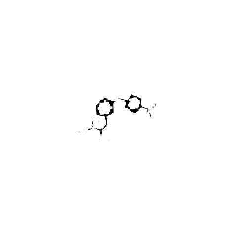 CC(Cc1cccc(Oc2ccc([N+](=O)[O-])cc2)c1)N(C)C